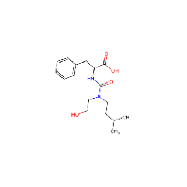 CC(C)CCN(CCO)C(=O)NC(Cc1ccccc1)C(=O)O